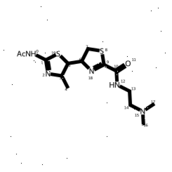 CC(=O)NC1=NC(C)C(C2CSC(C(=O)NCCN(C)C)=N2)S1